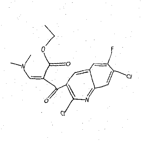 CCOC(=O)C(=CN(C)C)C(=O)c1cc2cc(F)c(Cl)cc2nc1Cl